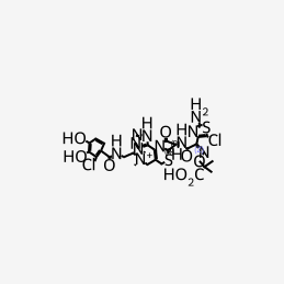 CC(C)(O/N=C(\C(=O)N[C@@H]1C(=O)N2C(c3nnn[nH]3)=C(C[N+](C)(C)CCNC(=O)c3ccc(O)c(O)c3Cl)CS[C@H]12)c1nc(N)sc1Cl)C(=O)O